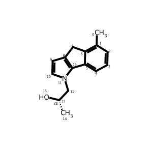 Cc1cccc2c1Cc1ccn(C[C@H](C)O)c1-2